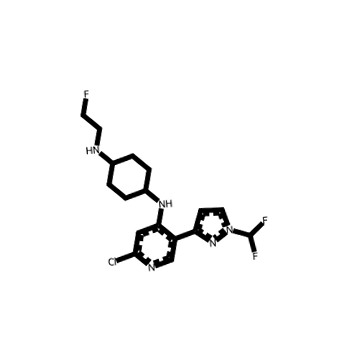 FCCNC1CCC(Nc2cc(Cl)ncc2-c2ccn(C(F)F)n2)CC1